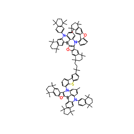 Cc1cc2c3c(c1)N(c1cccc4c1sc1ccc(C(C)(C)CCC5(C)CCC(C)(C)c6cc7c8c(oc7cc65)B5c6cc7c(cc6N(c6ccc9c(c6)C(C)(C)CCC9(C)C)c6cc(C)cc(c65)N8c5cccc6oc8cc9c(cc8c56)C(C)(C)CCC9(C)C)C(C)(C)CCC7(C)C)cc14)c1c(oc4cc5c(cc14)C(C)(C)CCC5(C)C)B3c1cc3c(cc1N2c1ccc2c(c1)C(C)(C)CCC2(C)C)C(C)(C)CCC3(C)C